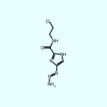 NN=Nc1c[nH]c(C(=O)NCCCl)n1